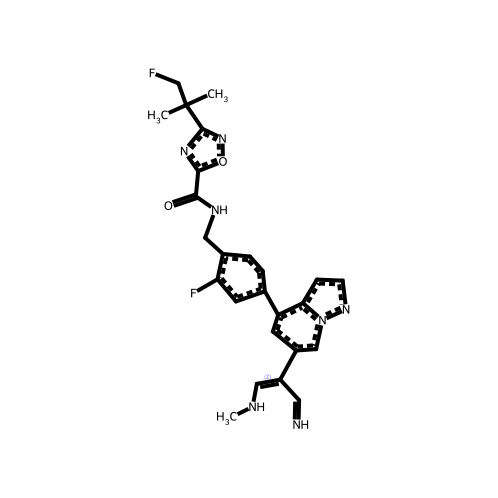 CN/C=C(\C=N)c1cc(-c2ccc(CNC(=O)c3nc(C(C)(C)CF)no3)c(F)c2)c2ccnn2c1